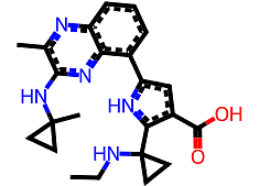 CCNC1(c2[nH]c(-c3cccc4nc(C)c(NC5(C)CC5)nc34)cc2C(=O)O)CC1